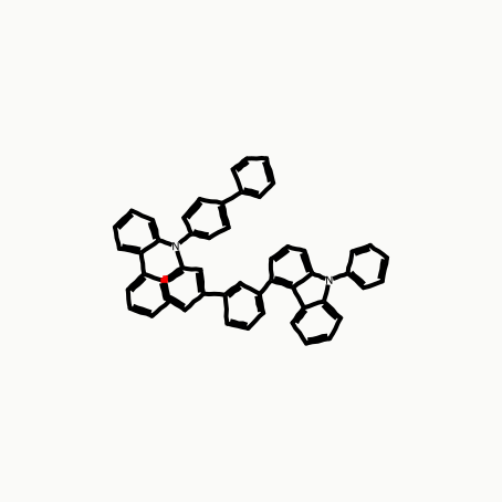 c1ccc(-c2ccc(N(c3cccc(-c4cccc(-c5cccc6c5c5ccccc5n6-c5ccccc5)c4)c3)c3ccccc3-c3ccccc3)cc2)cc1